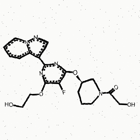 O=C(CO)N1CCC[C@@H](Oc2nc(-c3cnn4ccccc34)nc(OCCO)c2F)C1